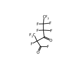 O=C(F)C(F)(C(=O)C(F)(F)C(F)(F)C(F)(F)F)C(F)(F)F